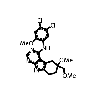 COCC1(OC)CCc2[nH]c3ncnc(Nc4cc(Cl)c(Cl)cc4OC)c3c2C1